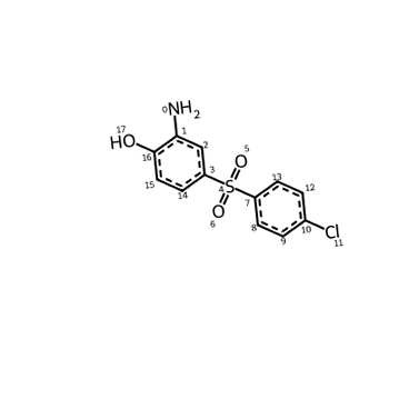 Nc1cc(S(=O)(=O)c2ccc(Cl)cc2)ccc1O